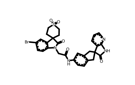 O=C(CN1C(=O)C2(CCS(=O)(=O)CC2)c2cc(Br)ccc21)Nc1ccc2c(c1)CC1(C2)C(=O)Nc2ncccc21